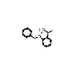 CC(N)c1ccccc1OCc1ccccc1